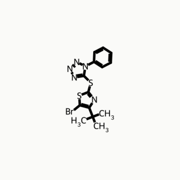 CC(C)(C)c1nc(Sc2nnnn2-c2ccccc2)sc1Br